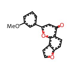 COc1cccc(-c2cc(=O)c3ccc4occc4c3o2)c1